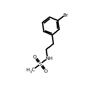 CS(=O)(=O)NCCc1cccc(Br)c1